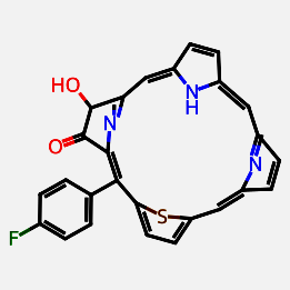 O=C1c2nc(cc3ccc(cc4nc(cc5ccc(s5)c2-c2ccc(F)cc2)C=C4)[nH]3)C1O